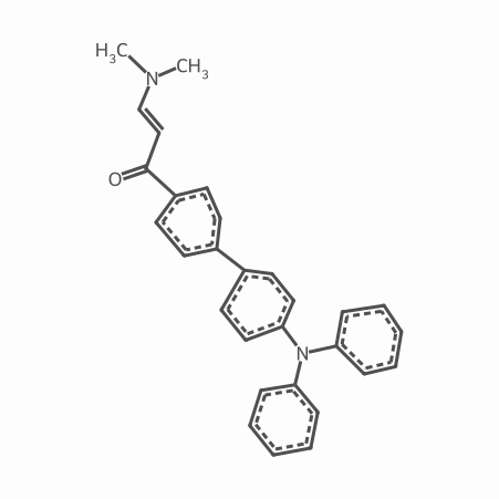 CN(C)/C=C/C(=O)c1ccc(-c2ccc(N(c3ccccc3)c3ccccc3)cc2)cc1